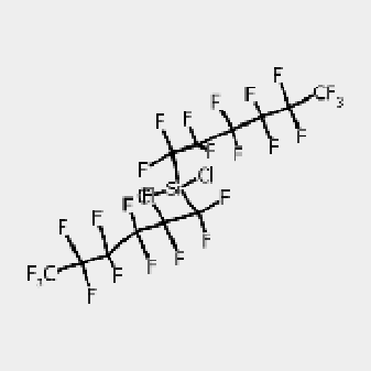 FC(F)(F)C(F)(F)C(F)(F)C(F)(F)C(F)(F)C(F)(F)[Si](Cl)(Cl)C(F)(F)C(F)(F)C(F)(F)C(F)(F)C(F)(F)C(F)(F)F